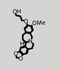 COc1cc2c(cc1OCCCO)CC[C@H]1c3cc4c(cc3CCN1C2)OCO4